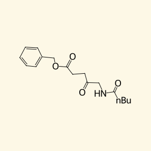 CCCCC(=O)NCC(=O)CCC(=O)OCc1ccccc1